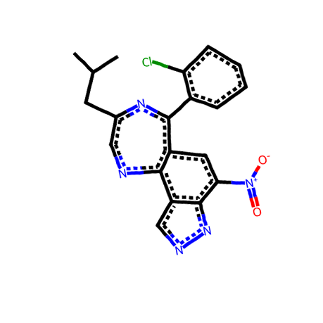 CC(C)Cc1cnc2c(cc([N+](=O)[O-])c3nncc32)c(-c2ccccc2Cl)n1